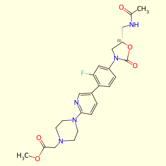 COC(=O)CN1CCN(c2ccc(-c3ccc(N4C[C@H](CNC(C)=O)OC4=O)cc3F)cn2)CC1